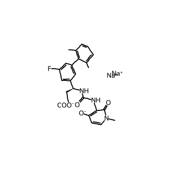 Cc1cccc(C)c1-c1cc(F)cc([C@H](CC(=O)[O-])NC(=O)Nc2c([O-])ccn(C)c2=O)c1.[Na+].[Na+]